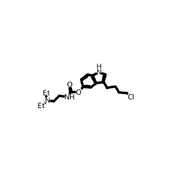 CCN(CC)CCNC(=O)Oc1ccc2[nH]cc(CCCCCl)c2c1